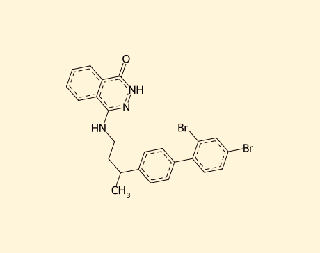 CC(CCNc1n[nH]c(=O)c2ccccc12)c1ccc(-c2ccc(Br)cc2Br)cc1